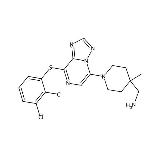 CC1(CN)CCN(c2cnc(Sc3cccc(Cl)c3Cl)c3ncnn23)CC1